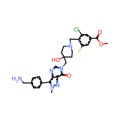 COC(=O)c1cc(F)c(CN2CCC(O)(Cn3cnc4c(-c5ccc(CN)cc5)n(C)nc4c3=O)CC2)c(Cl)c1